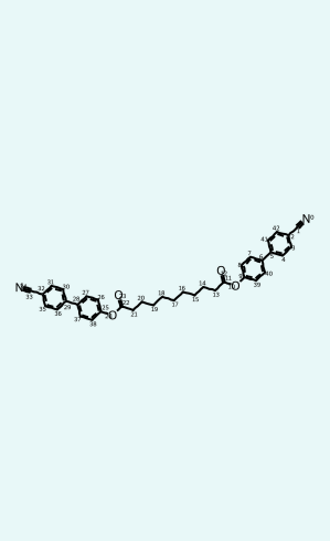 N#Cc1ccc(-c2ccc(OC(=O)CCCCCCCCCC(=O)Oc3ccc(-c4ccc(C#N)cc4)cc3)cc2)cc1